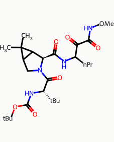 CCCC(NC(=O)[C@@H]1C2C(CN1C(=O)[C@@H](NC(=O)OC(C)(C)C)C(C)(C)C)C2(C)C)C(=O)C(=O)NOC